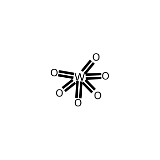 [O]=[W](=[O])(=[O])(=[O])(=[O])=[O]